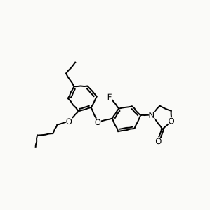 CCCCOc1cc(CC)ccc1Oc1ccc(N2CCOC2=O)cc1F